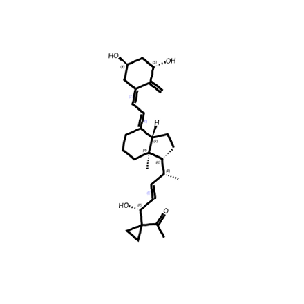 C=C1/C(=C\C=C2/CCC[C@]3(C)[C@@H]([C@H](C)/C=C/[C@@H](O)C4(C(C)=O)CC4)CC[C@@H]23)C[C@@H](O)C[C@@H]1O